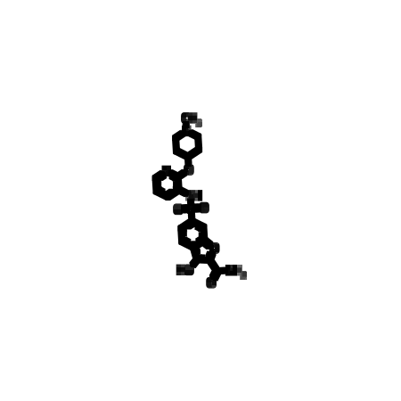 CN1CCC(Oc2ncccc2NS(=O)(=O)c2ccc3c(O)c(C(N)=O)oc3c2)CC1